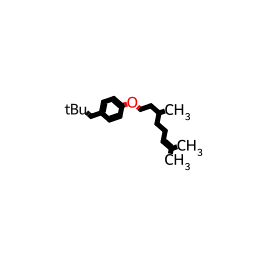 CC(C)=CCCC(C)CCOc1ccc(CC(C)(C)C)cc1